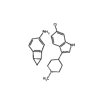 CN1CCC(c2c[nH]c3cc(Cl)ccc23)CC1.Nc1ccc2c(c1)C1CC21